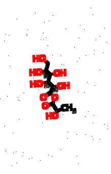 CC(O)C(=O)OC(=O)[C@H](O)[C@@H](O)[C@H](O)[C@H](O)CO